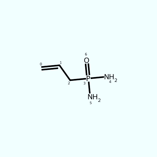 C=CCP(N)(N)=O